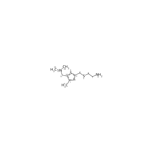 Cc1cc(CSCCN)sc1CN(C)C